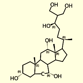 C[C@H](CC[C@@H](O)C(CO)CO)C1CCC2C3C(C[C@H](O)[C@@]21C)[C@@]1(C)CC[C@@H](O)CC1C[C@H]3O